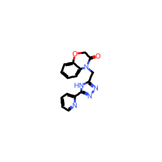 O=C1COc2ccccc2N1Cc1nnc(-c2ccccn2)[nH]1